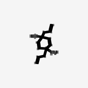 C=CCC1(C(=O)O)C=CC(CC=C)(C(=O)O)C=C1